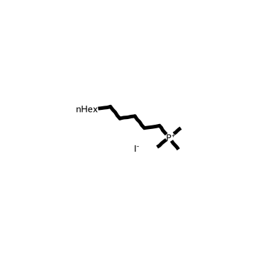 CCCCCCCCCCC[P+](C)(C)C.[I-]